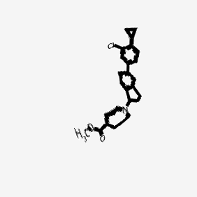 COC(=O)C1CCN(C2CCc3cc(-c4ccc(C5CC5)c(Cl)c4)ccc32)CC1